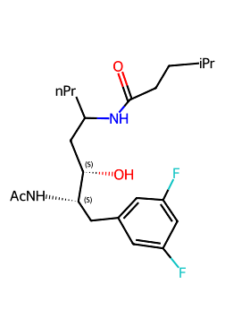 CCCC(C[C@H](O)[C@H](Cc1cc(F)cc(F)c1)NC(C)=O)NC(=O)CCC(C)C